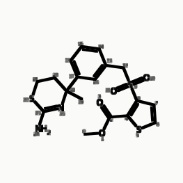 COC(=O)c1sccc1S(=O)(=O)Cc1cccc(C2(C)CCSC(N)=N2)c1